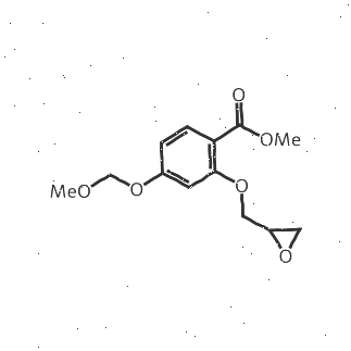 COCOc1ccc(C(=O)OC)c(OCC2CO2)c1